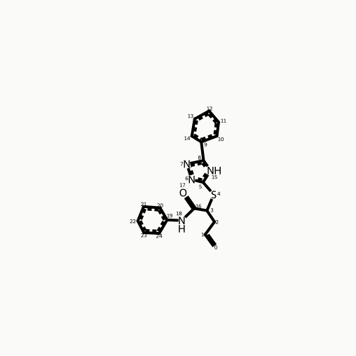 C=CCC(Sc1nnc(-c2ccccc2)[nH]1)C(=O)Nc1ccccc1